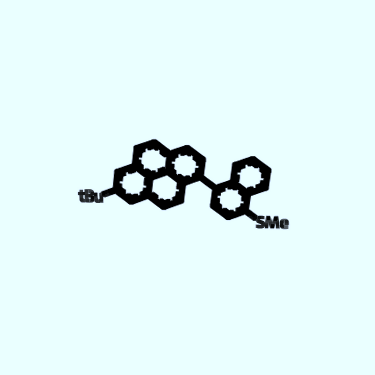 CSc1ccc(-c2ccc3ccc4cc(C(C)(C)C)cc5ccc2c3c45)c2ccccc12